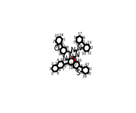 c1ccc2cc3c(cc2c1)c1ccccc1n3-c1cc2oc3ccccc3c2cc1-c1nc(-c2ccc3sc4ccccc4c3c2)nc(-n2c3ccccc3c3ccccc32)n1